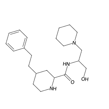 O=C(NC(CO)CN1CCCCC1)C1CC(CCc2ccccc2)CCN1